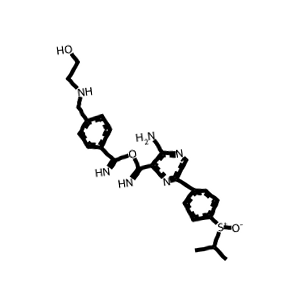 CC(C)[S+]([O-])c1ccc(-c2cnc(N)c(C(=N)OC(=N)c3ccc(CNCCO)cc3)n2)cc1